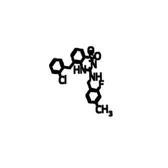 Cc1ccc(CNC2=NS(=O)(=O)c3cccc(Cc4ccccc4Cl)c3N2)c(F)c1